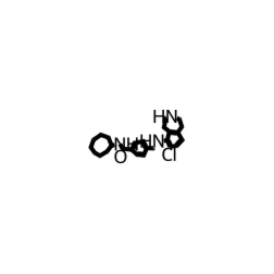 O=C(NC1CCCCCCC1)c1ccc(CNc2c(Cl)ccc3c2CCNCC3)cc1